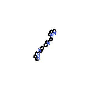 c1cc(-c2ccc3cc(-c4ccc5nc(-c6ccc7ccc8cccnc8c7n6)ccc5c4)ccc3n2)cc(-c2ccc3ccc4cccnc4c3n2)c1